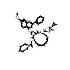 COc1ccc2c(O[C@@H]3C[C@H]4C(=O)N[C@H](C(=O)NS(=O)(=O)C5CC5)C/C=C\CCCCC[C@H](CC(=O)N5CCCCC5)C(=O)N4C3)cc(-c3ccccc3)nc2c1